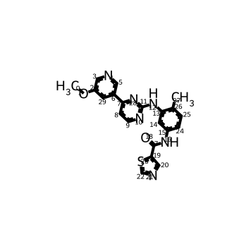 COc1cncc(-c2ccnc(Nc3cc(NC(=O)c4cncs4)ccc3C)n2)c1